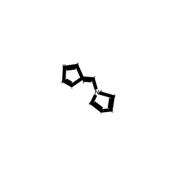 C1=CC(=Cn2cccc2)C=C1